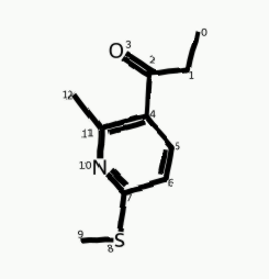 CCC(=O)c1ccc(SC)nc1C